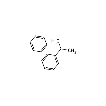 CC(C)c1ccccc1.c1ccccc1